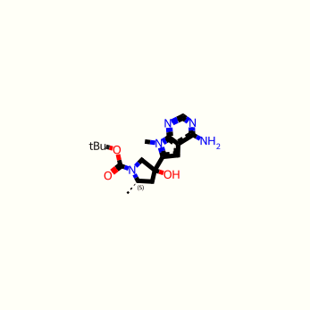 C[C@H]1CC(O)(c2cc3c(N)ncnc3n2C)CN1C(=O)OC(C)(C)C